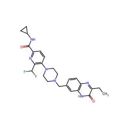 CCc1nc2ccc(CN3CCN(c4ccc(C(=O)NC5CC5)nc4C(F)F)CC3)cc2[nH]c1=O